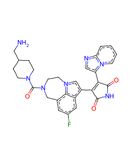 NCC1CCN(C(=O)N2CCn3cc(C4=C(c5cnc6ccccn56)C(=O)NC4=O)c4cc(F)cc(c43)C2)CC1